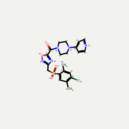 Cc1cc(S(=O)(=O)Cc2noc(C(=O)N3CCN(c4ccncc4)CC3)n2)c(C)cc1Cl